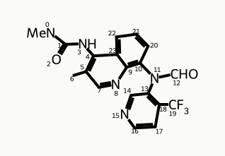 CNC(=O)Nc1c(C)cnc2c(N(C=O)c3cnccc3C(F)(F)F)cccc12